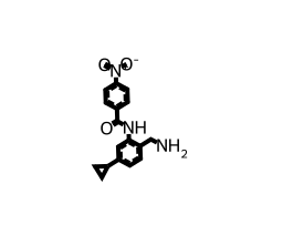 NCc1ccc(C2CC2)cc1NC(=O)c1ccc([N+](=O)[O-])cc1